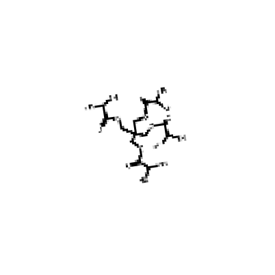 CCCC(S)C(=O)OCC(COC(=O)C(S)CCC)(COC(=O)C(S)CCC)COC(=O)C(S)CCC